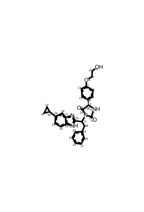 O=C1N[C@H](c2ccc(OCCO)cc2)C(=O)N1C(Cc1ccccc1)c1nc2cc(C3CC3)ccc2[nH]1